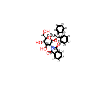 CCCC[Si](O[C@@H]1O[C@H](CO)[C@@H](O)[C@H](O)[C@H]1N1C(=O)c2ccccc2C1=O)(c1ccccc1)c1ccccc1